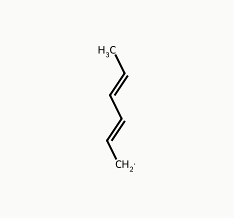 [CH2]/C=C/C=C/C